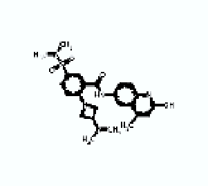 Cc1cc(O)nc2ccc(NC(=O)c3cc(S(=O)(=O)N(C)C)ccc3N3CC(N(C)C)C3)cc12